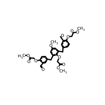 COC(=O)COc1ccc(Cc2cc(OC)cc(Cc3ccc(OCC(=O)OC)c(C=O)c3)c2OCC(=O)OC)cc1C=O